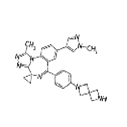 Cc1nnc2n1-c1ccc(-c3cnn(C)c3)cc1C(c1ccc(N3CC4(CNC4)C3)cc1)=NC21CC1